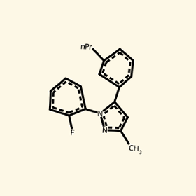 CCCc1cccc(-c2cc(C)nn2-c2ccccc2F)c1